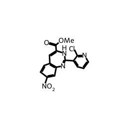 COC(=O)C1=Cc2ccc([N+](=O)[O-])cc2N=C(c2cccnc2Cl)N1